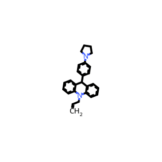 C=CCN1c2ccccc2C(c2ccc(N3CCCC3)cc2)c2ccccc21